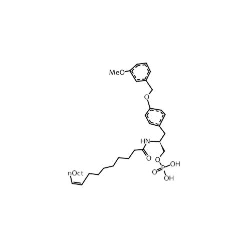 CCCCCCCC/C=C\CCCCCCCC(=O)N[C@H](COP(=O)(O)O)Cc1ccc(OCc2cccc(OC)c2)cc1